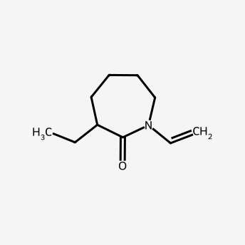 C=CN1CCCCC(CC)C1=O